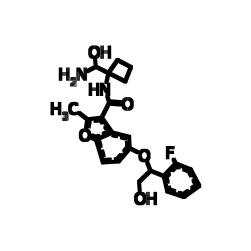 Cc1oc2ccc(OC(CO)c3ccccc3F)cc2c1C(=O)NC1(C(N)O)CCC1